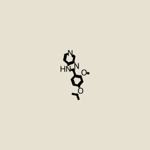 COc1cc(OC(C)C)ccc1-c1nc2cnccc2[nH]1